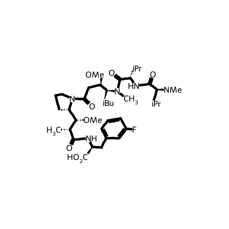 CC[C@H](C)[C@@H]([C@@H](CC(=O)N1CCC[C@H]1[C@H](OC)[C@@H](C)C(=O)N[C@@H](Cc1cccc(F)c1)C(=O)O)OC)N(C)C(=O)[C@@H](NC(=O)[C@@H](NC)C(C)C)C(C)C